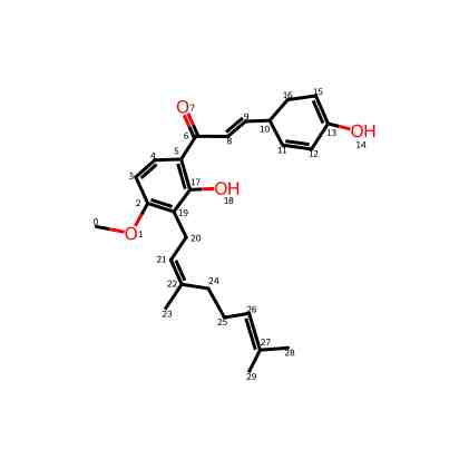 COc1ccc(C(=O)C=CC2C=CC(O)=CC2)c(O)c1CC=C(C)CCC=C(C)C